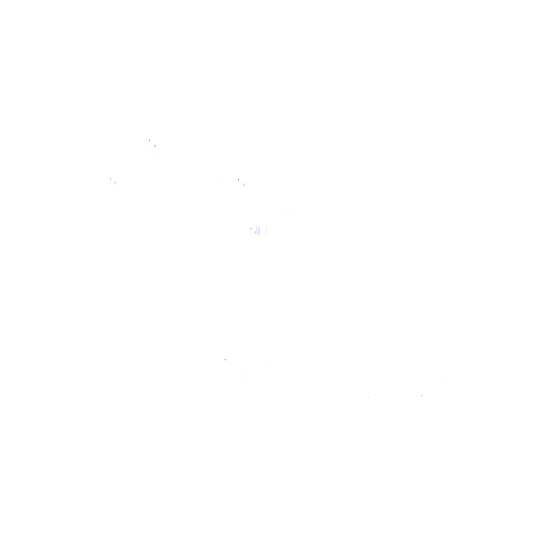 O=C(O)C(F)(F)F.O=c1nc(OCCc2ccc(Oc3ccc(Cl)c(C(F)(F)F)c3)c(F)c2)[nH]cc1Cc1cncnc1